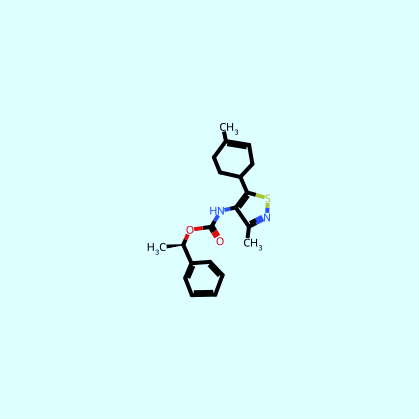 CC1=CCC(c2snc(C)c2NC(=O)O[C@H](C)c2ccccc2)CC1